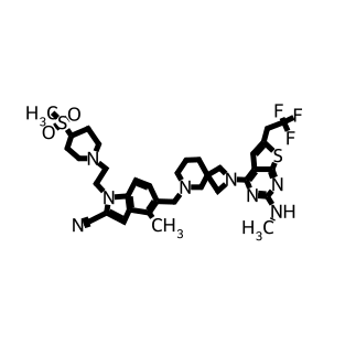 CNc1nc(N2CC3(CCCN(Cc4ccc5c(cc(C#N)n5CCN5CCC(S(C)(=O)=O)CC5)c4C)C3)C2)c2cc(CC(F)(F)F)sc2n1